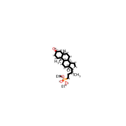 CCOP(=O)(CC[C@@H](C)[C@H]1CCC2C3CC[C@H]4CC(=O)CC[C@]4(C)C3CC[C@@]21C)OCC